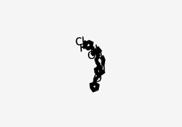 O=C1C(N2CCCN(c3ccc(OCc4ccccc4)cn3)CC2)CCN1c1ccc(Cl)c(F)c1